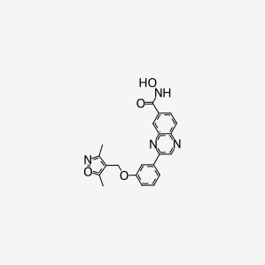 Cc1noc(C)c1COc1cccc(-c2cnc3ccc(C(=O)NO)cc3n2)c1